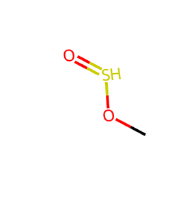 CO[SH]=O